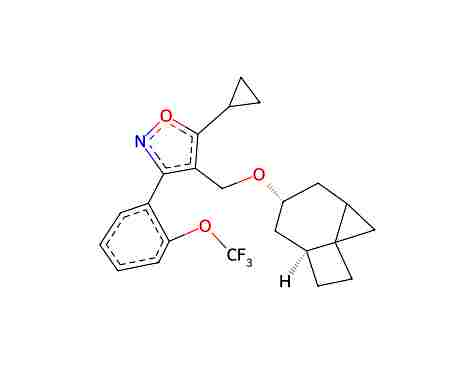 FC(F)(F)Oc1ccccc1-c1noc(C2CC2)c1CO[C@@H]1CC2CC23CC[C@H]3C1